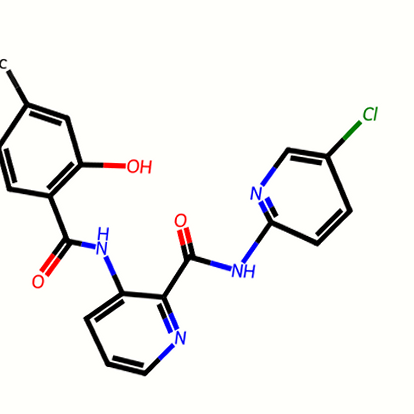 CC(=O)c1ccc(C(=O)Nc2cccnc2C(=O)Nc2ccc(Cl)cn2)c(O)c1